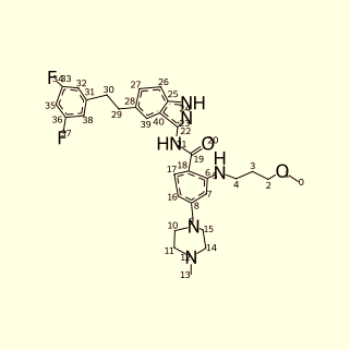 COCCCNc1cc(N2CCN(C)CC2)ccc1C(=O)Nc1n[nH]c2ccc(CCc3cc(F)cc(F)c3)cc12